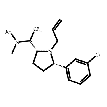 C=CCN1[C@@H](C(N(C)C(C)=O)C(F)(F)F)CC[C@H]1c1cccc(Cl)c1